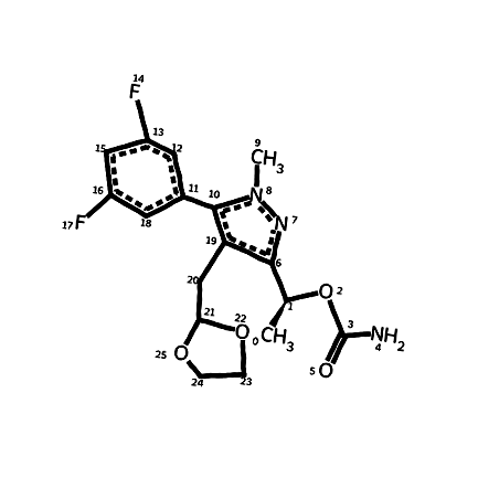 C[C@H](OC(N)=O)c1nn(C)c(-c2cc(F)cc(F)c2)c1CC1OCCO1